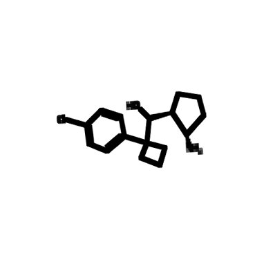 N[C@H]1CCC[C@@H]1C(O)C1(c2ccc(Cl)cc2)CCC1